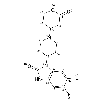 O=C1CC(N2CCC(n3c(=O)[nH]c4cc(F)c(Cl)cc43)CC2)CCO1